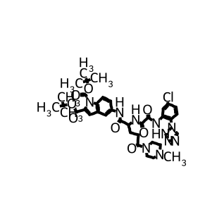 CN1CCN(C(=O)CCC(NC(=O)C(=O)Nc2cc(Cl)ccc2-n2cnnn2)C(=O)Nc2ccc3c(c2)cc(C(=O)OC(C)(C)C)n3C(=O)OC(C)(C)C)CC1